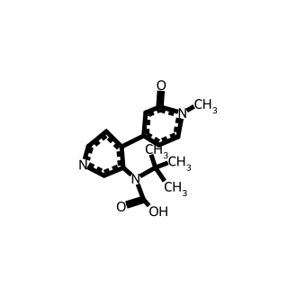 Cn1ccc(-c2ccncc2N(C(=O)O)C(C)(C)C)cc1=O